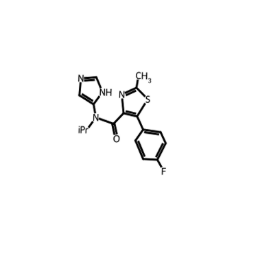 Cc1nc(C(=O)N(c2cnc[nH]2)C(C)C)c(-c2ccc(F)cc2)s1